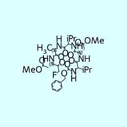 COC(=O)C[C@H](NC(=O)[C@H](C)NC(=O)C(NC(=O)[C@H](CC(=O)OC)NC(=O)C(NC(=O)OCc1ccccc1)C(C)C)C(C)C)C(=O)CF